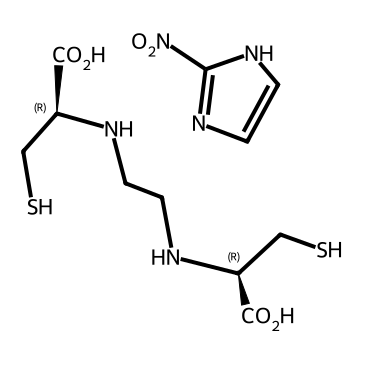 O=C(O)[C@H](CS)NCCN[C@@H](CS)C(=O)O.O=[N+]([O-])c1ncc[nH]1